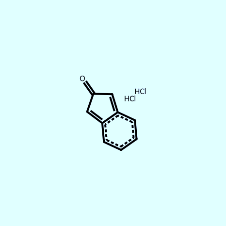 Cl.Cl.O=C1C=c2ccccc2=C1